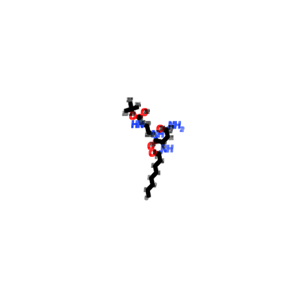 CCCCCCCC(=O)NC(CC(N)=O)C(=O)NCCNC(=O)OC(C)(C)C